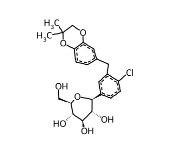 CC1(C)COc2cc(Cc3cc([C@@H]4O[C@H](CO)[C@@H](O)[C@H](O)[C@H]4O)ccc3Cl)ccc2O1